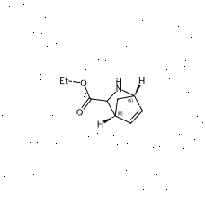 CCOC(=O)C1N[C@@H]2C=C[C@H]1C2